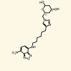 O=[N+]([O-])c1ccc(NCCCCCCc2cn(C[C@@H]3C[C@H](O)CC(O)O3)nn2)c2nonc12